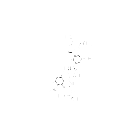 CCCN(CCC)C(=O)c1cc(C)cc(C(=O)N[C@@H](Cc2ccc(OC)c(F)c2)[C@H](O)CNCCC(C)C)c1